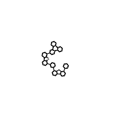 c1ccc(-c2cccc3c2Cc2c(-c4cccc(-c5cccc6c5sc5c(-c7ccc8c9ccccc9c9ccccc9c8c7)cccc56)c4)cccc2-3)cc1